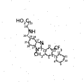 Cn1c(-c2ccc(-c3ccccc3)c(C(F)(F)F)c2)nc2cc(CNCCC(=O)O)ccc21